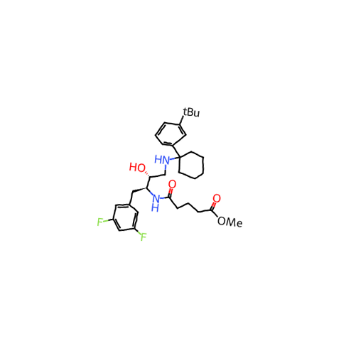 COC(=O)CCCC(=O)N[C@@H](Cc1cc(F)cc(F)c1)[C@H](O)CNC1(c2cccc(C(C)(C)C)c2)CCCCC1